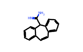 N=C(N)C1c2ccccc2C=Cc2ccccc21